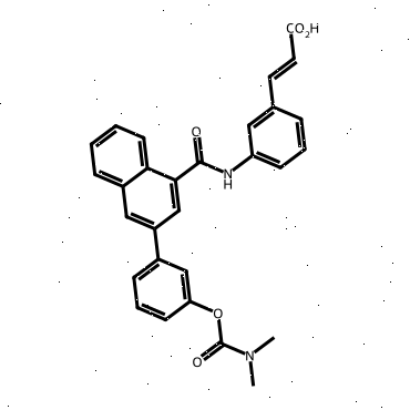 CN(C)C(=O)Oc1cccc(-c2cc(C(=O)Nc3cccc(/C=C/C(=O)O)c3)c3ccccc3c2)c1